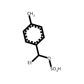 CCC(OS(=O)(=O)O)c1ccc(C)cc1